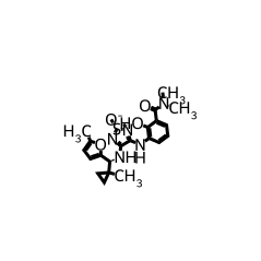 Cc1ccc([C@H](Nc2n[s+]([O-])nc2Nc2cccc(C(=O)N(C)C)c2O)C2(C)CC2)o1